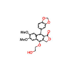 COc1cc2c(OCCO)c3c(c(-c4ccc5c(c4)OCO5)c2cc1OC)C(=O)OC3